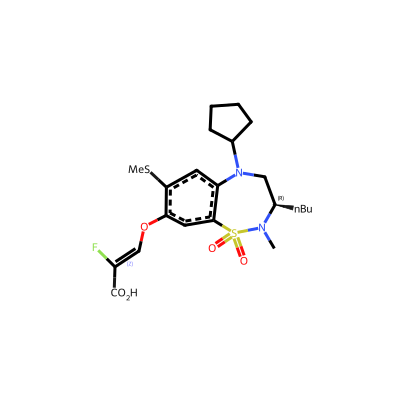 CCCC[C@@H]1CN(C2CCCC2)c2cc(SC)c(O/C=C(\F)C(=O)O)cc2S(=O)(=O)N1C